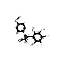 COc1ccc([C@@H]2[C@@H](c3c(F)c(F)c(F)c(F)c3F)C2(Cl)Cl)cc1